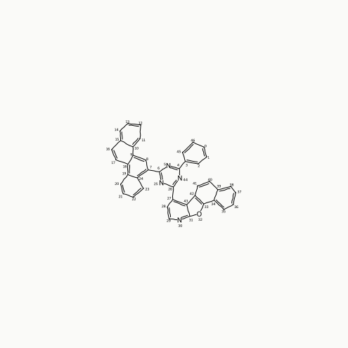 c1ccc(-c2nc(-c3cc4c5ccccc5ccc4c4ccccc34)nc(-c3ccnc4oc5c6ccccc6ccc5c34)n2)cc1